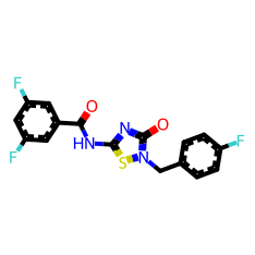 O=C(Nc1nc(=O)n(Cc2ccc(F)cc2)s1)c1cc(F)cc(F)c1